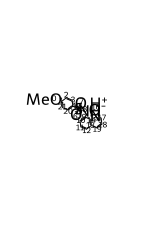 COc1ccc(S(=O)(=O)Nc2cccc3c2[NH+]([O-])CC=C3)cc1